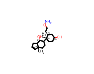 C[C@@]12C=CCC1[C@H](O)C([C@@]1(C)CC[C@H](O)C[C@@H]1CCON)CC2